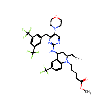 CCC1CC(Nc2ncc(N3CCOCC3)c(Cc3cc(C(F)(F)F)cc(C(F)(F)F)c3)n2)c2cc(C(F)(F)F)ccc2N1CCCCC(=O)OC